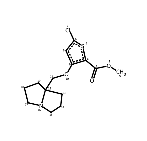 COC(=O)c1sc(Cl)cc1OCC12CCCN1CCC2